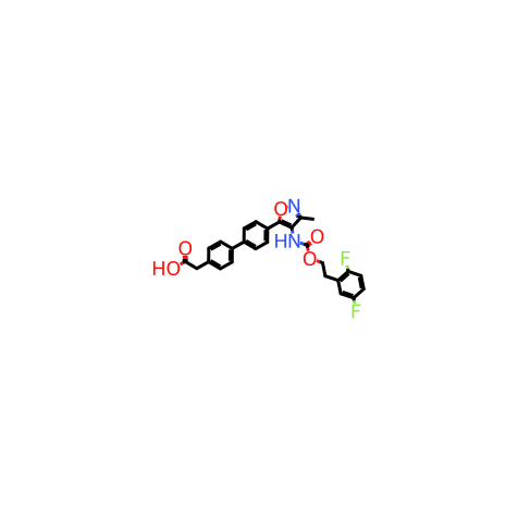 Cc1noc(-c2ccc(-c3ccc(CC(=O)O)cc3)cc2)c1NC(=O)OCCc1cc(F)ccc1F